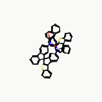 c1ccc(N(c2ccc3c(c2)C2(c4ccccc4-c4ccc(N(c5ccccc5)c5cccc6c5sc5ccccc56)cc42)c2sc4ccccc4c2-3)c2ccc3oc4ccccc4c3c2)cc1